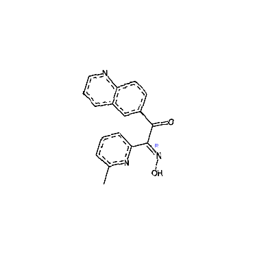 Cc1cccc(/C(=N\O)C(=O)c2ccc3ncccc3c2)n1